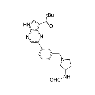 CC(C)(C)C(=O)c1c[nH]c2ncc(-c3cccc(CN4CCC(NC=O)C4)c3)nc12